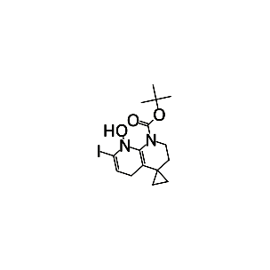 CC(C)(C)OC(=O)N1CCC2(CC2)C2=C1N(O)C(I)=CC2